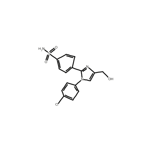 NS(=O)(=O)c1ccc(-c2nc(CO)cn2-c2ccc(Cl)cc2)cc1